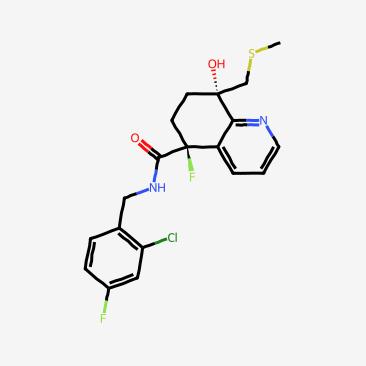 CSC[C@]1(O)CC[C@@](F)(C(=O)NCc2ccc(F)cc2Cl)c2cccnc21